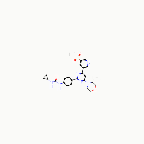 C[C@H]1COCCN1c1cc(-c2cncc(S(C)(=O)=O)c2)nc(-c2ccc(NC(=O)NC3CC3)cc2)n1